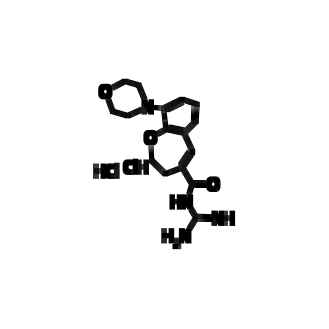 Cl.Cl.N=C(N)NC(=O)C1=Cc2cccc(N3CCOCC3)c2OCC1